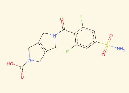 NS(=O)(=O)c1cc(F)c(C(=O)N2CC3=C(CN(C(=O)O)C3)C2)c(F)c1